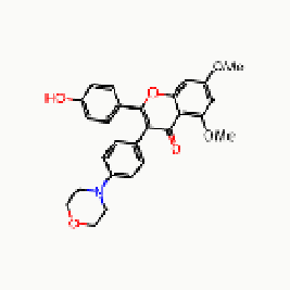 COc1cc(OC)c2c(=O)c(-c3ccc(N4CCOCC4)cc3)c(-c3ccc(O)cc3)oc2c1